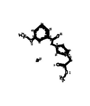 COC(=O)C[n+]1ccn(CC(=O)c2cccc(OC)c2)c1.[Br-]